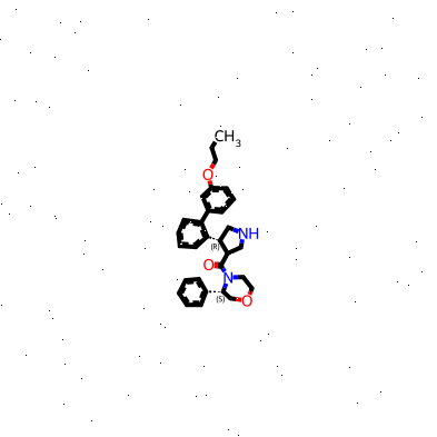 CCCOc1cccc(-c2ccccc2[C@@H]2CNCC2C(=O)N2CCOC[C@@H]2c2ccccc2)c1